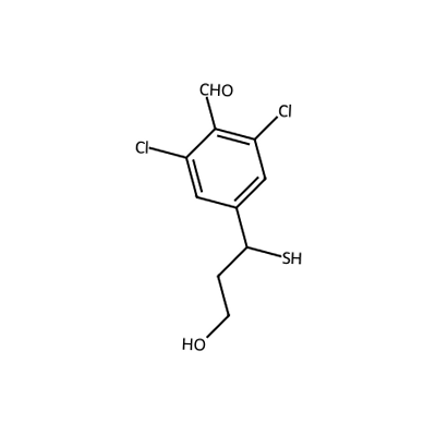 O=Cc1c(Cl)cc(C(S)CCO)cc1Cl